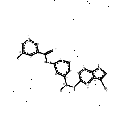 CCc1c[nH]c2ncc(N[C@@H](C)c3cccc(NC(=O)c4cncc(C)c4)c3)nc12